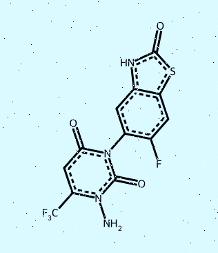 Nn1c(C(F)(F)F)cc(=O)n(-c2cc3[nH]c(=O)sc3cc2F)c1=O